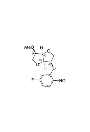 CO[C@@H]1CO[C@H]2[C@@H]1OC[C@H]2Oc1cc(F)ccc1N=O